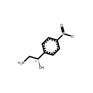 NC[C@@H](O)c1ccc([N+](=O)[O-])cc1